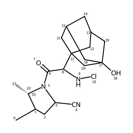 CC1CC(C#N)N(C(=O)C(NCl)C23CC4CC(CC(O)(C4)C2)C3)[C@H]1C